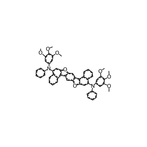 COc1cc(N(c2ccccc2)c2cc3oc4cc5c(cc4c3c3ccccc23)oc2cc(N(c3ccccc3)c3cc(OC)c(OC)c(OC)c3)c3ccccc3c25)cc(OC)c1OC